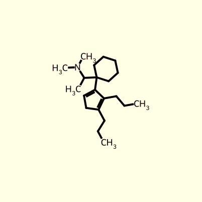 CCCC1=C(CCC)C(C2(C(C)N(C)C)CCCCC2)=CC1